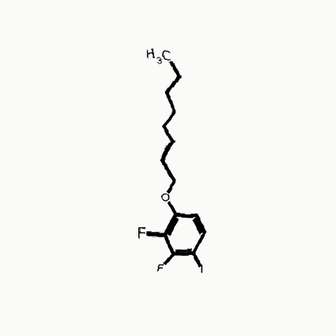 CCCCCCCCOc1ccc(I)c(F)c1F